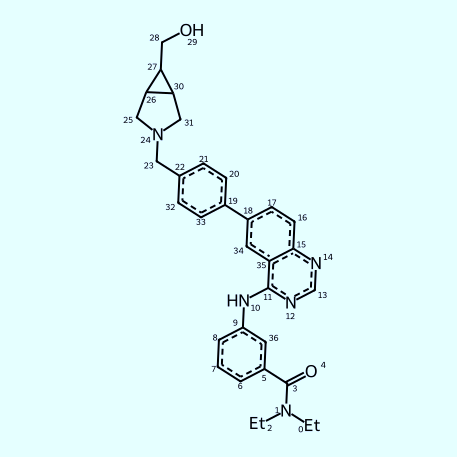 CCN(CC)C(=O)c1cccc(Nc2ncnc3ccc(-c4ccc(CN5CC6C(CO)C6C5)cc4)cc23)c1